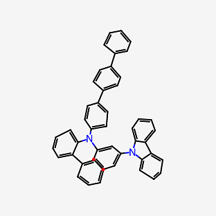 c1ccc(-c2ccc(-c3ccc(N(c4cccc(-n5c6ccccc6c6ccccc65)c4)c4ccccc4-c4ccccc4)cc3)cc2)cc1